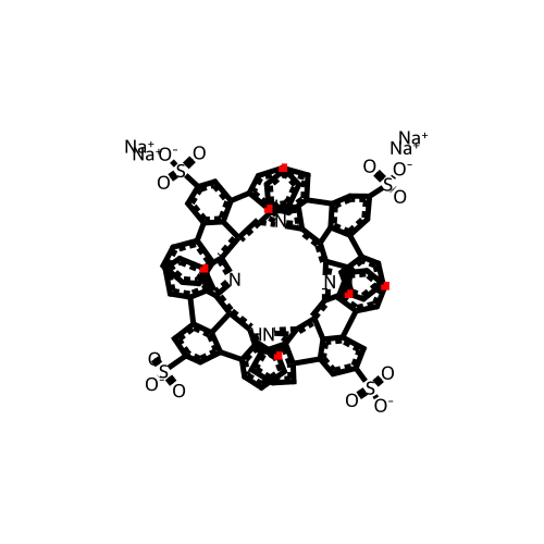 O=S(=O)([O-])c1cc(-c2ccccc2)c(-c2c3nc(c(-c4c(-c5ccccc5)cc(S(=O)(=O)[O-])cc4-c4ccccc4)c4ccc([nH]4)c(-c4c(-c5ccccc5)cc(S(=O)(=O)[O-])cc4-c4ccccc4)c4nc(c(-c5c(-c6ccccc6)cc(S(=O)(=O)[O-])cc5-c5ccccc5)c5ccc2[nH]5)C=C4)C=C3)c(-c2ccccc2)c1.[Na+].[Na+].[Na+].[Na+]